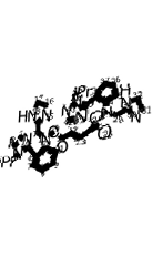 CC(C)n1ncnc1-c1ccccc1N(CC1=NCCN1)OC(=O)/C=C/C(=O)ON(CC1=NCCN1)c1ccccc1-c1ncnn1C(C)C